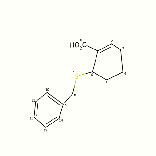 O=C(O)C1=CCCCC1SCc1ccccc1